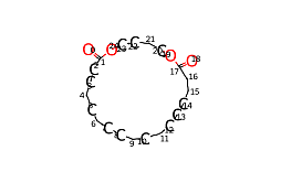 O=C1CCCCCCCCCCCCCCCC(=O)OCCCCO1